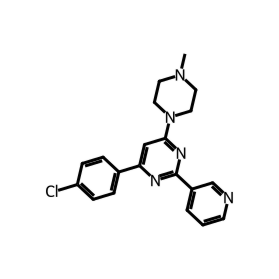 CN1CCN(c2cc(-c3ccc(Cl)cc3)nc(-c3cccnc3)n2)CC1